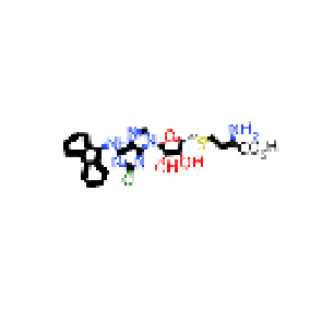 NC(CCSC[C@H]1O[C@@H](n2cnc3c(NC4c5ccccc5-c5ccccc54)nc(Cl)nc32)[C@H](O)[C@@H]1O)C(=O)O